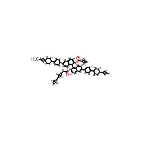 CC1C2C1C21CCC(c2ccc(-c3ccc4c(-c5c(OC(=O)CC6C7C6C7C6C7CC76)ccc6cc(-c7ccc(C8CCC(C9C%10CC%109)CC8)cc7)ccc56)c(OC(=O)C5C6CC65)ccc4c3)cc2)CC1